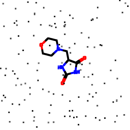 O=C1NC(=O)C(CN2CCOCC2)N1